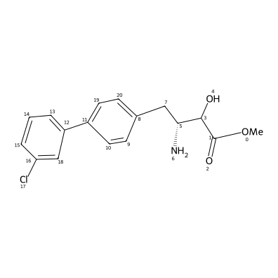 COC(=O)C(O)[C@H](N)Cc1ccc(-c2cccc(Cl)c2)cc1